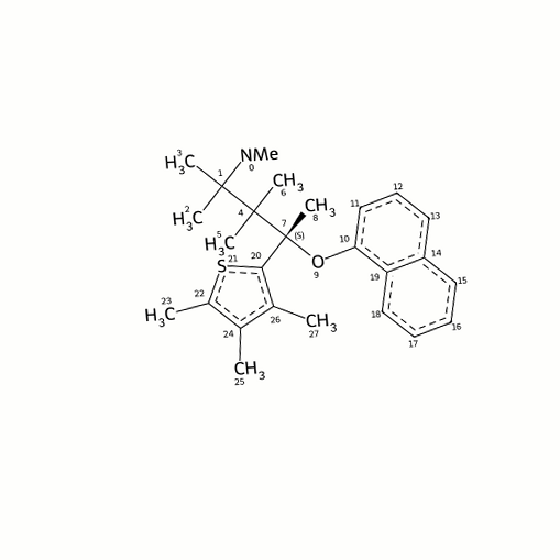 CNC(C)(C)C(C)(C)[C@](C)(Oc1cccc2ccccc12)c1sc(C)c(C)c1C